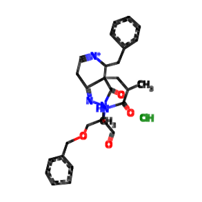 CC(CC12C(=O)N(C)N=C1CC#[N+]C2Cc1ccccc1)C(=O)NC(C=O)COCc1ccccc1.Cl